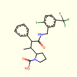 CC(C(C(=O)NCc1cc(C(F)(F)F)ccc1F)c1ccccc1)C1CCCN1C(=O)O